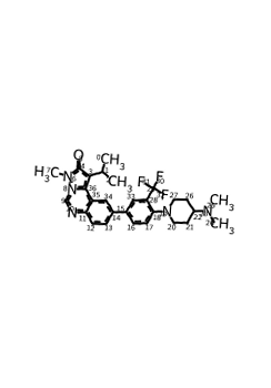 CC(C)c1c(=O)n(C)n2cnc3ccc(-c4ccc(N5CCC(N(C)C)CC5)c(C(F)(F)F)c4)cc3c12